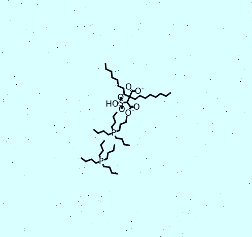 CCCCCCCCC(CCCCCCCC)(C(=O)[O-])C(C(=O)[O-])S(=O)(=O)O.CCCC[P+](CCCC)(CCCC)CCCC.CCCC[P+](CCCC)(CCCC)CCCC